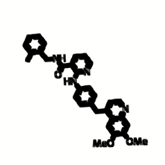 COc1cc2nccc(Cc3ccc(Nc4ncccc4C(=O)NCc4ccccc4C)cc3)c2cc1OC